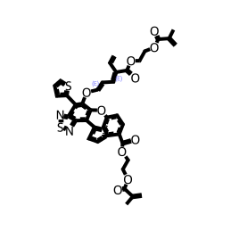 C=C/C(=C\C=C\Oc1c(Oc2ccc(C(=O)OCCOC(=O)C(=C)C)cc2)c(-c2cccs2)c2nsnc2c1-c1cccs1)C(=O)OCCOC(=O)C(=C)C